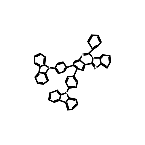 c1ccc(-c2nc3cc(-c4ccc(-n5c6ccccc6c6ccccc65)cc4)c(-c4ccc(-n5c6ccccc6c6ccccc65)cc4)cc3c3nc4ccccc4n23)cc1